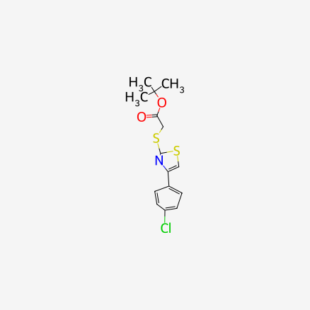 CC(C)(C)OC(=O)CSc1nc(-c2ccc(Cl)cc2)cs1